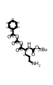 CC(C)(C)OC(=O)N[C@@H](CCCN)C(=O)OC(=O)OC(=O)c1ccccc1